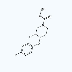 CC(C)(C)OC(=O)N1CCC(Oc2ccc(I)cc2)C(F)C1